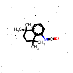 CC1(C)CCC(C)(C)c2c(N=C=O)[c]ccc21